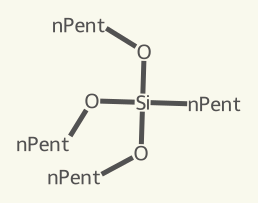 [CH2]CCCC[Si](OCCCCC)(OCCCCC)OCCCCC